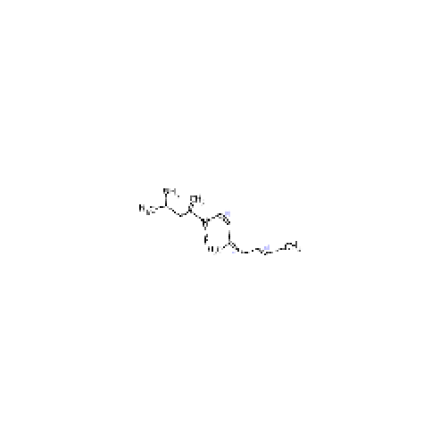 C=C(CC(C)N)N(F)\C=C/C(C)=C\C=C\C